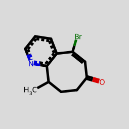 CC1CCC(=O)/C=C(/Br)c2cccnc21